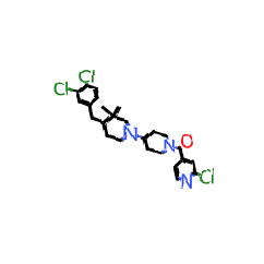 CC1(C)CN(C2CCN(C(=O)c3ccnc(Cl)c3)CC2)CCC1Cc1ccc(Cl)c(Cl)c1